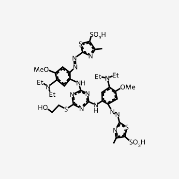 CCN(CC)c1cc(Nc2nc(Nc3cc(N(CC)CC)c(OC)cc3/N=N/c3nc(C)c(S(=O)(=O)O)s3)nc(SCCO)n2)c(/N=N/c2nc(C)c(S(=O)(=O)O)s2)cc1OC